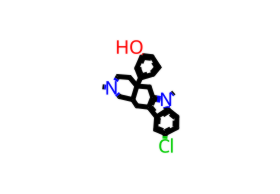 CN1CCC2(c3cccc(O)c3)Cc3c(c4cc(Cl)ccc4n3C)CC2C1